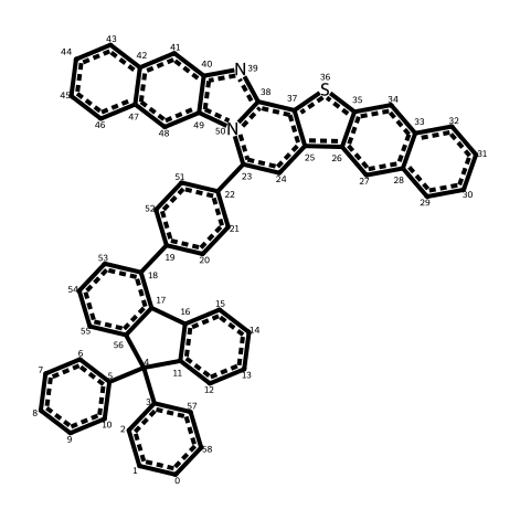 c1ccc(C2(c3ccccc3)c3ccccc3-c3c(-c4ccc(-c5cc6c7cc8ccccc8cc7sc6c6nc7cc8ccccc8cc7n56)cc4)cccc32)cc1